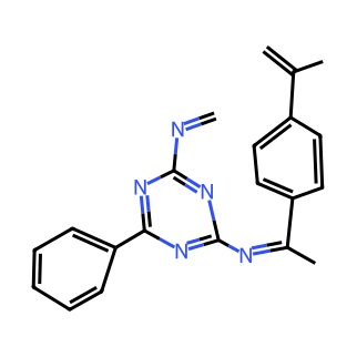 C=Nc1nc(/N=C(/C)c2ccc(C(=C)C)cc2)nc(-c2ccccc2)n1